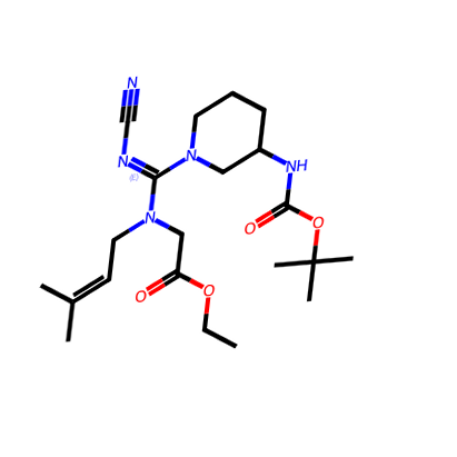 CCOC(=O)CN(CC=C(C)C)/C(=N/C#N)N1CCCC(NC(=O)OC(C)(C)C)C1